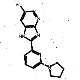 Brc1cnc2nc(-c3cccc(N4CCCC4)c3)[nH]c2c1